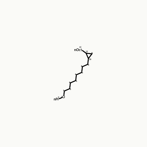 [CH2]CCOCCCCCCCCC1CC1CCCCCCCC